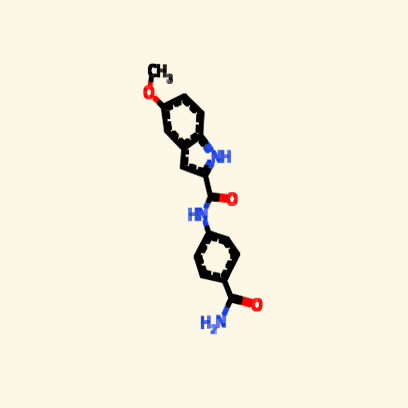 COc1ccc2[nH]c(C(=O)Nc3ccc(C(N)=O)cc3)cc2c1